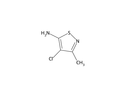 Cc1nsc(N)c1Cl